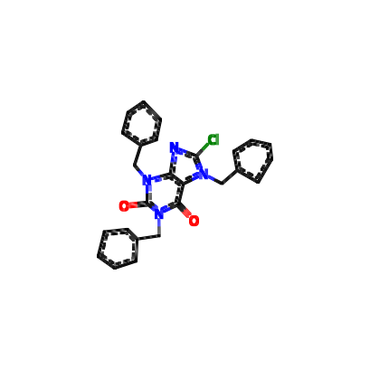 O=c1c2c(nc(Cl)n2Cc2ccccc2)n(Cc2ccccc2)c(=O)n1Cc1ccccc1